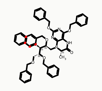 C[C@H]1C(=O)Nc2c(OCc3ccccc3)nc(OCc3ccccc3)nc2N1C[C@H](OCc1ccccc1)[C@H](OCc1ccccc1)[C@@H](COCc1ccccc1)OCc1ccccc1